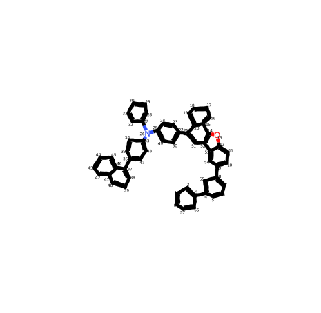 c1ccc(-c2cccc(-c3ccc4oc5c6ccccc6c(-c6ccc(N(c7ccccc7)c7ccc(-c8cccc9ccccc89)cc7)cc6)cc5c4c3)c2)cc1